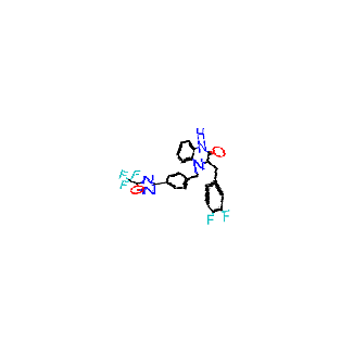 O=C1Nc2ccccc2N(Cc2ccc(-c3noc(C(F)(F)F)n3)cc2)C1Cc1ccc(F)c(F)c1